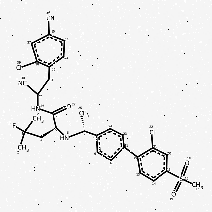 CC(C)(F)C[C@H](N[C@@H](c1ccc(-c2ccc(S(C)(=O)=O)cc2Cl)cc1)C(F)(F)F)C(=O)NC(C#N)Cc1ccc(C#N)cc1Cl